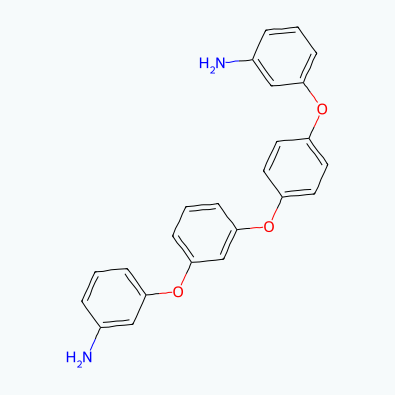 Nc1cccc(Oc2ccc(Oc3cccc(Oc4cccc(N)c4)c3)cc2)c1